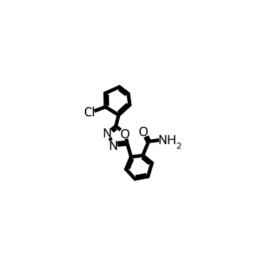 NC(=O)c1ccccc1-c1nnc(-c2ccccc2Cl)o1